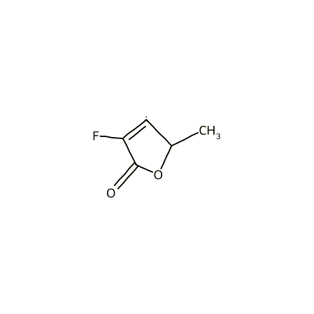 CC1[C]=C(F)C(=O)O1